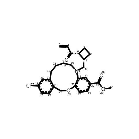 C=CC(=O)[C@@H]1CC[C@H]1CN1CCCCc2cc(Cl)ccc2COc2ccc(C(=O)OC)cc21